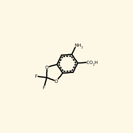 Nc1cc2c(cc1C(=O)O)OC(F)(F)O2